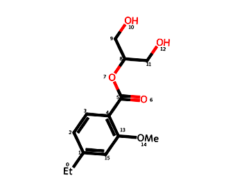 CCc1ccc(C(=O)OC(CO)CO)c(OC)c1